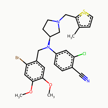 COc1cc(Br)c(CN(c2ccc(C#N)c(Cl)c2)[C@H]2CCN(Cc3sccc3C)C2)cc1OC